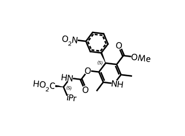 COC(=O)C1=C(C)NC(C)=C(OC(=O)N[C@H](C(=O)O)C(C)C)[C@H]1c1cccc([N+](=O)[O-])c1